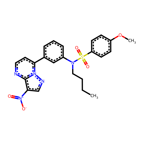 CCCCN(c1cccc(-c2ccnc3c([N+](=O)[O-])cnn23)c1)S(=O)(=O)c1ccc(OC)cc1